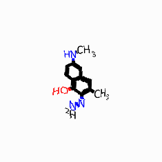 [2H]N=Nc1c(C)cc2cc(NC)ccc2c1O